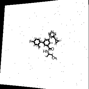 COCC(C)NC(=O)c1cc(-c2ccc(F)cc2F)cc(-n2nnnc2C2CC2)c1